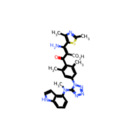 Cc1nc(C)c(/C(N)=C(\C(=O)O)C(=O)c2c(C)cc(-n3nnnc3N(C)c3cccc4[nH]ccc34)cc2C)s1